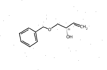 C=C[C@H](O)COCc1ccccc1